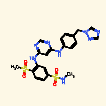 CNS(=O)(=O)c1ccc(S(C)(=O)=O)c(Nc2cc(Nc3ccc(Cn4cncn4)cc3)ncn2)c1